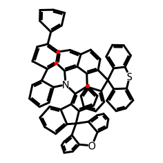 c1ccc(-c2ccc(-c3ccccc3N(c3cccc4c3-c3ccccc3C43c4ccccc4Oc4ccccc43)c3cccc4ccc5c(c34)-c3ccccc3C53c4ccccc4Sc4ccccc43)cc2)cc1